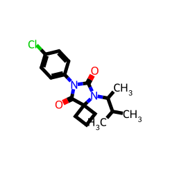 CC(C)C(C)N1C(=O)N(c2ccc(Cl)cc2)C(=O)C12CCC2